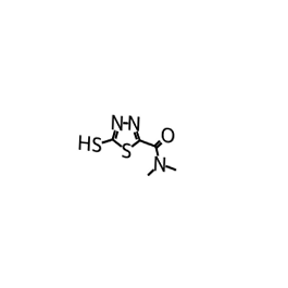 CN(C)C(=O)c1nnc(S)s1